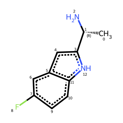 C[C@@H](N)c1cc2cc(F)ccc2[nH]1